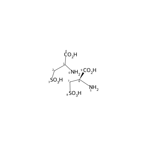 NC(CS(=O)(=O)O)C(=O)O.N[C@@H](CS(=O)(=O)O)C(=O)O